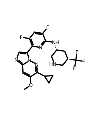 COc1cc2ncc(-c3nc(N[C@H]4CNC[C@H](C(F)(F)F)C4)c(F)cc3F)n2nc1C1CC1